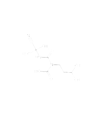 CC(C)CCN(C(=O)O)C(=O)NC(C)(C)C#N